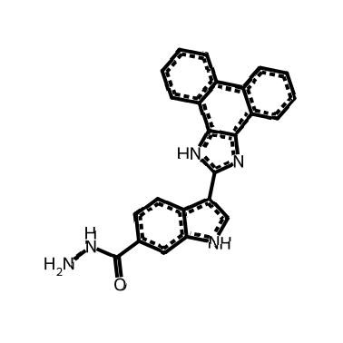 NNC(=O)c1ccc2c(-c3nc4c5ccccc5c5ccccc5c4[nH]3)c[nH]c2c1